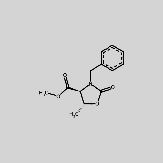 COC(=O)[C@@H]1[C@@H](C)OC(=O)N1Cc1ccccc1